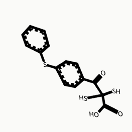 O=C(O)C(S)(S)C(=O)c1ccc(Sc2ccccc2)cc1